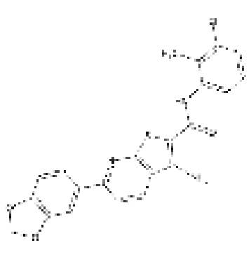 Cc1c(Cl)cccc1NC(=O)c1sc2nc(-c3ccc4c(c3)OCO4)ccc2c1N